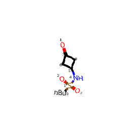 CCCCS(=O)(=O)NC1CC(=O)C1